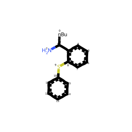 CCCCC(N)c1ccccc1Sc1ccccc1